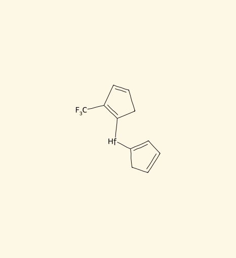 FC(F)(F)C1=[C]([Hf][C]2=CC=CC2)CC=C1